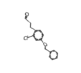 O=CCCc1ccc(OCc2ccccc2)cc1Cl